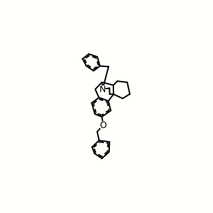 c1ccc(COc2ccc3c(c2)C24CCCCC2C(C3)N(Cc2ccccc2)CC4)cc1